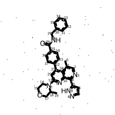 Cc1cnc(-c2ccn[nH]2)c2nc(N3CCOCC3C)cc(-c3ccc(C(=O)NCc4ccccc4)cc3)c12